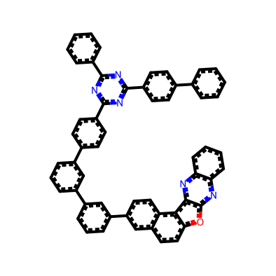 c1ccc(-c2ccc(-c3nc(-c4ccccc4)nc(-c4ccc(-c5cccc(-c6cccc(-c7ccc8c(ccc9oc%10nc%11ccccc%11nc%10c98)c7)c6)c5)cc4)n3)cc2)cc1